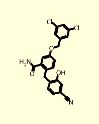 N#Cc1ccc(Cc2ccc(OCc3cc(Cl)cc(Cl)c3)cc2C(N)=O)c(O)c1